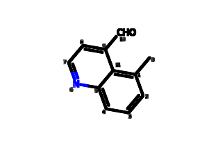 Cc1cccc2nccc(C=O)c12